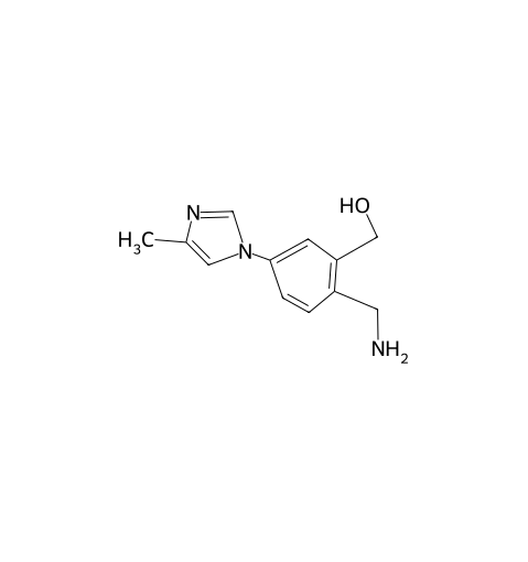 Cc1cn(-c2ccc(CN)c(CO)c2)cn1